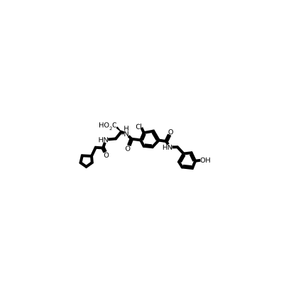 O=C(CC1CCCC1)NC[C@H](NC(=O)c1ccc(C(=O)NCc2cccc(O)c2)cc1Cl)C(=O)O